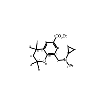 CCOC(=O)c1cc(CN(C(C)C)C2CC2)c2c(c1)C(C)(C)CC(C)(C)O2